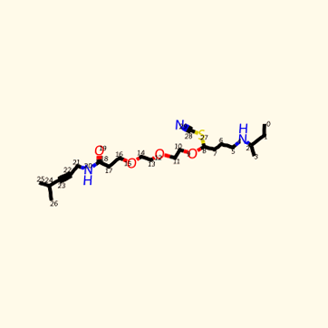 CCC(C)NCCCC(OCCOCCOCCC(=O)NCC#CC(C)C)SC#N